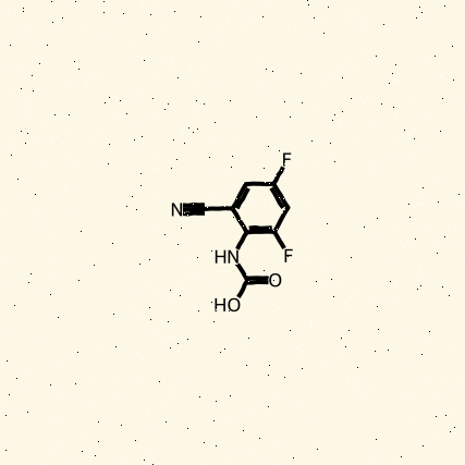 N#Cc1cc(F)cc(F)c1NC(=O)O